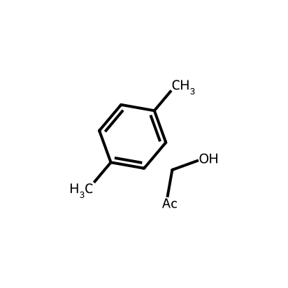 CC(=O)CO.Cc1ccc(C)cc1